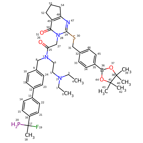 CCN(CC)CCN(Cc1ccc(-c2ccc(C(C)(F)P)cc2)cc1)C(=O)Cn1c(SCc2ccc(B3OC(C)(C)C(C)(C)O3)cc2)nc2c(c1=O)CCC2